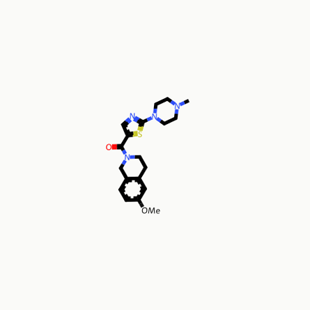 COc1ccc2c(c1)CCN(C(=O)c1cnc(N3CCN(C)CC3)s1)C2